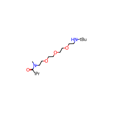 CC(C)C(=O)N(C)CCOCCOCCOCCNC(C)(C)C